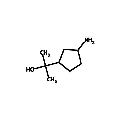 CC(C)(O)C1CCC(N)C1